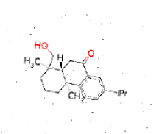 CC(C)c1ccc2c(c1)C(=O)C[C@H]1[C@](C)(CO)CCC[C@]21C